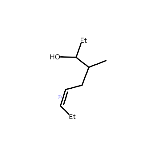 CC/C=C\CC(C)C(O)CC